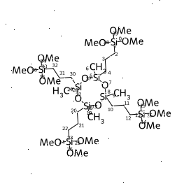 CO[Si](CCC[Si]1(C)O[Si](C)(CCC[Si](OC)(OC)OC)O[Si](C)(CCC[Si](OC)(OC)OC)O[Si](C)(CCC[Si](OC)(OC)OC)O1)(OC)OC